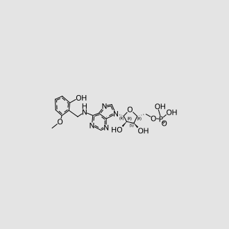 COc1cccc(O)c1CNc1ncnc2c1ncn2[C@@H]1O[C@H](COP(=O)(O)O)[C@@H](O)[C@H]1O